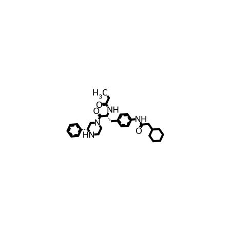 CCC(=O)N[C@H](Cc1ccc(NC(=O)CC2CCCCC2)cc1)C(=O)N1CCN[C@H](c2ccccc2)C1